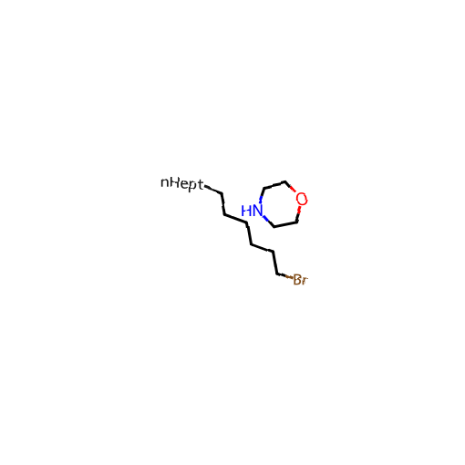 C1COCCN1.CCCCCCCCCCCCCBr